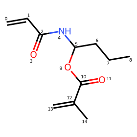 C=CC(=O)NC(CCC)OC(=O)C(=C)C